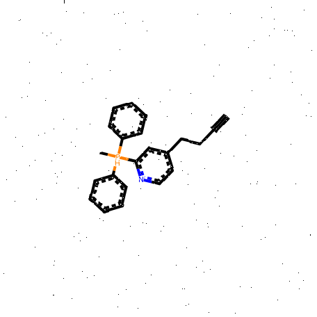 C#CCCc1ccnc([PH](C)(c2ccccc2)c2ccccc2)c1